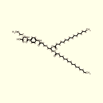 CCCCCCCCCCCCCCCC(=O)OCC(CSCCC(=O)Nc1ccc(C(=O)N[C@@H](CCSC)C(=O)O)cc1)OC(=O)CCCCCCCCCCCCCCC